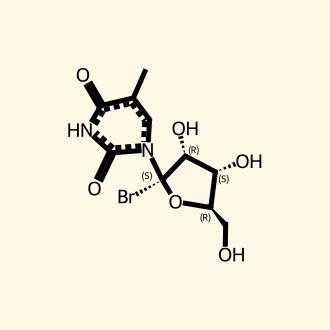 Cc1cn([C@]2(Br)O[C@H](CO)[C@@H](O)[C@H]2O)c(=O)[nH]c1=O